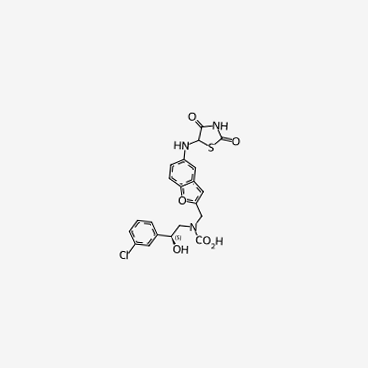 O=C1NC(=O)C(Nc2ccc3oc(CN(C[C@@H](O)c4cccc(Cl)c4)C(=O)O)cc3c2)S1